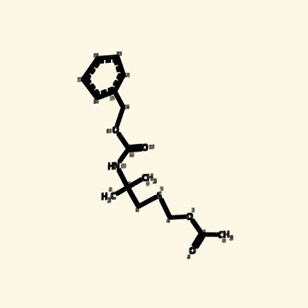 CC(=O)OCSCC(C)(C)NC(=O)OCc1ccccc1